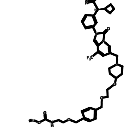 Cn1cnnc1[C@H](c1cccc(-n2cc3c(C(F)(F)F)cc(CN4CCC(OCCOCc5ccc(COCCNC(=O)OC(C)(C)C)cc5)CC4)cn3c2=O)c1)C1CCC1